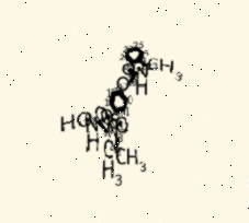 CC(C)CN(CC(=O)NO)S(=O)(=O)c1ccc(OCC(=O)NC(C)c2ccccc2)cc1